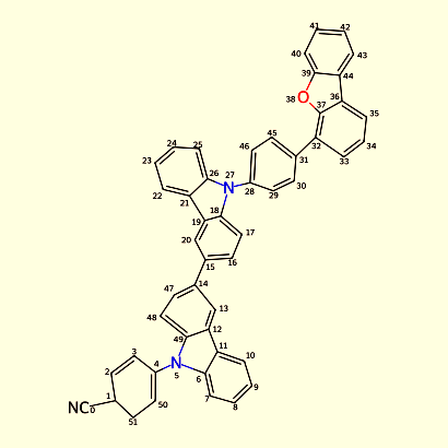 N#CC1C=CC(n2c3ccccc3c3cc(-c4ccc5c(c4)c4ccccc4n5-c4ccc(-c5cccc6c5oc5ccccc56)cc4)ccc32)=CC1